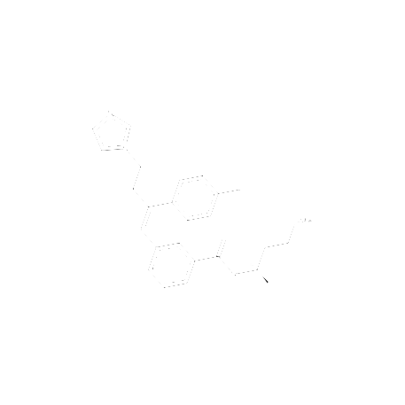 CSCC[C@H](NC(=O)c1cccc(C=C(CCn2ccnc2)c2ccc(F)cc2)c1)C(=O)O